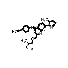 C#Cc1ccc(Nc2nc(COCC(C)C)nc3nc(-c4ncccc4C)ccc23)cc1